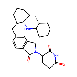 C[C@@H]1CCCC[C@H]1N[C@H]1CCCC[C@@H]1Cc1ccc2c(c1)CN(C1CCC(=O)NC1=O)C2=O